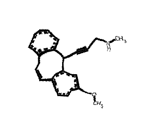 CNCC#CC1c2ccccc2C=Cc2ccc(OC)cc21